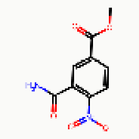 COC(=O)c1ccc([N+](=O)[O-])c(C(N)=O)c1